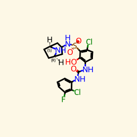 O=C(Nc1ccc(Cl)c(S(=O)(=O)NC2C[C@H]3CC[C@@H](C2)N3)c1O)Nc1cccc(F)c1Cl